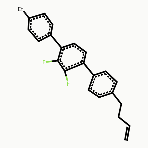 C=CCCc1ccc(-c2ccc(-c3ccc(CC)cc3)c(F)c2F)cc1